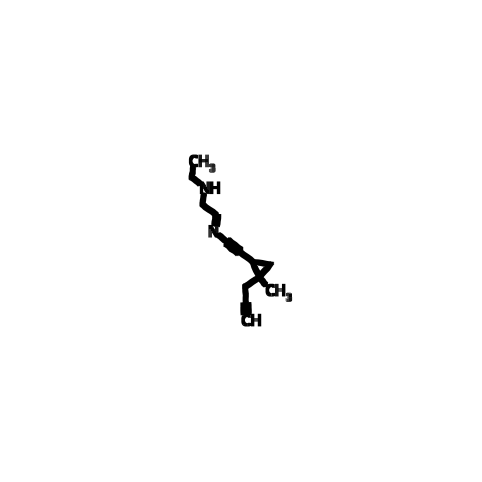 C#CCC1(C)CC1C#C/N=C/CNCC